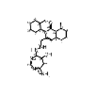 CC1CCCC2C=C(CNNC3N=CN=C(N)CC3O)N(C3CCCCC3C)C(=O)C12